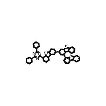 c1ccc(-c2nc(-c3ccccc3)nc(-c3cccc4c3oc3ccc(-c5cc(-c6cccc7c6sc6ccccc67)c6c(c5)sc5ccccc56)cc34)n2)cc1